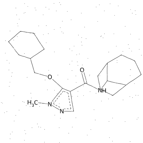 Cn1ncc(C(=O)NC2C3CCCC2CCC3)c1OCC1CCCCC1